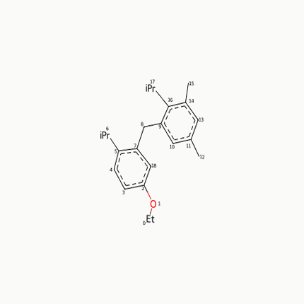 CCOc1ccc(C(C)C)c(Cc2cc(C)cc(C)c2C(C)C)c1